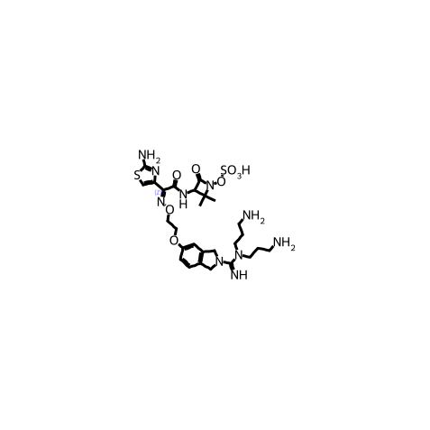 CC1(C)C(NC(=O)/C(=N\OCCOc2ccc3c(c2)CN(C(=N)N(CCCN)CCCN)C3)c2csc(N)n2)C(=O)N1OS(=O)(=O)O